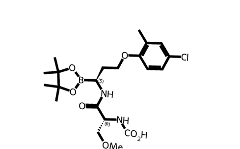 COC[C@@H](NC(=O)O)C(=O)N[C@H](CCOc1ccc(Cl)cc1C)B1OC(C)(C)C(C)(C)O1